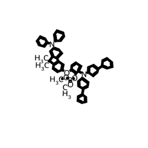 COB(OC)Oc1c(Oc2ccc3c(c2)-c2ccc(N(c4ccccc4)c4ccccc4)cc2C3(C)C)cccc1N(c1ccc(-c2ccccc2)cc1)c1ccc(-c2ccccc2)cc1